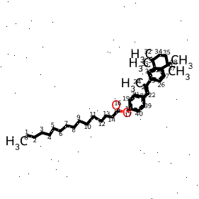 CCCCCCCCCCCCCCCC(=O)Oc1ccc(C=C(C)c2ccc3c(c2)C(C)(C)CCC3(C)C)cc1